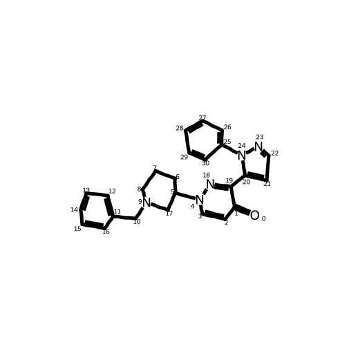 O=c1ccn(C2CCCN(Cc3ccccc3)C2)nc1-c1ccnn1-c1ccccc1